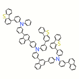 c1ccc(N(c2cccc(-c3ccc(-c4ccc(N(c5cccc(-c6ccc7sc8ccccc8c7c6)c5)c5cccc(-c6cc(-c7ccc(N(c8cccc(-c9cccc%10ccccc9%10)c8)c8cccc(-c9cccc%10c9sc9ccccc9%10)c8)cc7)cc7ccccc67)c5)cc4)c4ccccc34)c2)c2cccc(-c3cccc4sc5ccccc5c34)c2)cc1